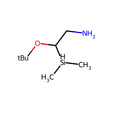 C[SiH](C)C(CN)OC(C)(C)C